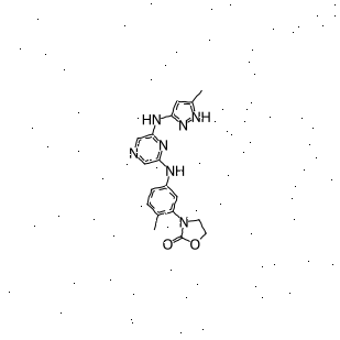 Cc1cc(Nc2cncc(Nc3ccc(C)c(N4CCOC4=O)c3)n2)n[nH]1